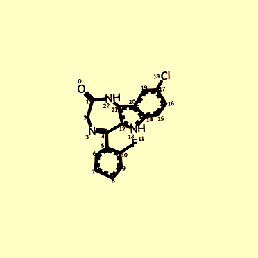 O=C1CN=C(c2ccccc2F)c2[nH]c3ccc(Cl)cc3c2N1